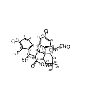 CC[C@@H](c1cccc(Cl)c1F)[C@H](C(=O)OC)N(C)C1(c2ccc(Cl)cc2NC=O)CCC(C)(C)CC1